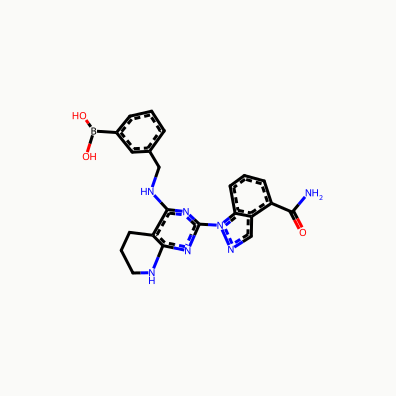 NC(=O)c1cccc2c1cnn2-c1nc2c(c(NCc3cccc(B(O)O)c3)n1)CCCN2